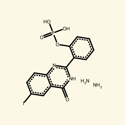 N.N.O=c1[nH]c(-c2ccccc2OP(=O)(O)O)nc2ccc(I)cc12